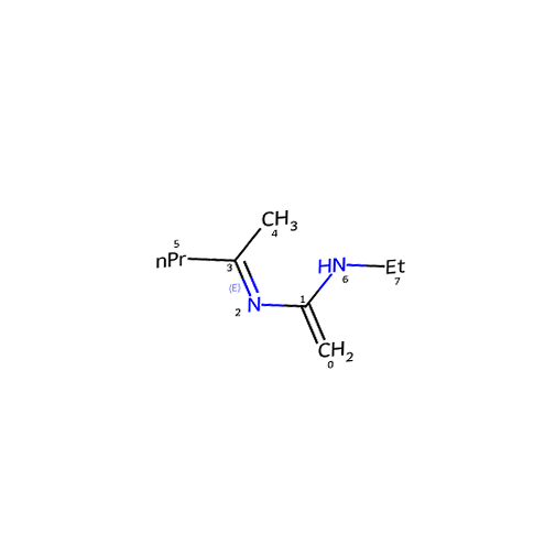 C=C(/N=C(\C)CCC)NCC